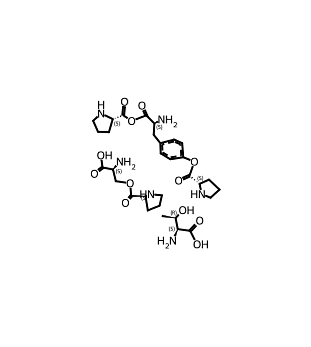 C[C@@H](O)[C@H](N)C(=O)O.N[C@@H](COC(=O)[C@@H]1CCCN1)C(=O)O.N[C@@H](Cc1ccc(OC(=O)[C@@H]2CCCN2)cc1)C(=O)OC(=O)[C@@H]1CCCN1